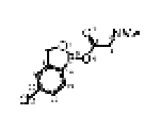 CNCC(=O)OB1OCc2cc(Cl)ccc21